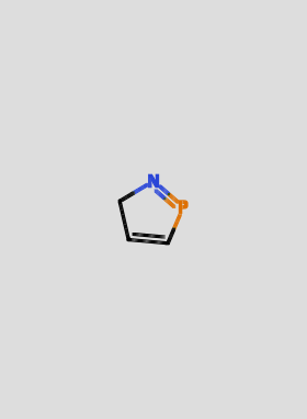 C1=CP=NC1